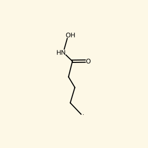 [CH2]CCCC(=O)NO